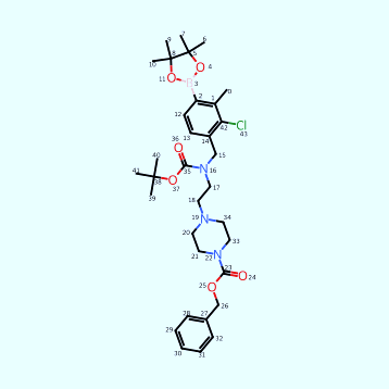 Cc1c(B2OC(C)(C)C(C)(C)O2)ccc(CN(CCN2CCN(C(=O)OCc3ccccc3)CC2)C(=O)OC(C)(C)C)c1Cl